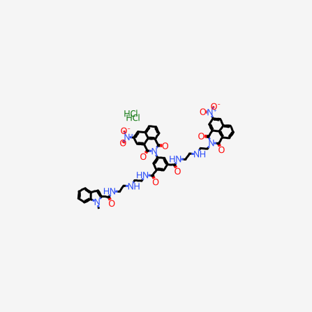 Cl.Cl.Cn1c(C(=O)NCCNCCNC(=O)c2cc(C(=O)NCCNCCN3C(=O)c4cccc5cc([N+](=O)[O-])cc(c45)C3=O)cc(N3C(=O)c4cccc5cc([N+](=O)[O-])cc(c45)C3=O)c2)cc2ccccc21